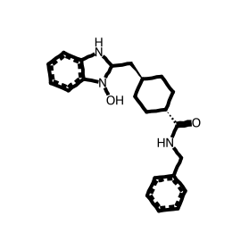 O=C(NCc1ccccc1)[C@H]1CC[C@H](CC2Nc3ccccc3N2O)CC1